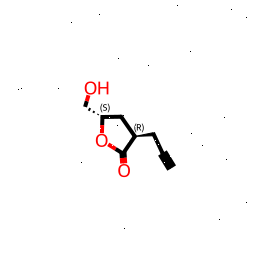 C#CC[C@@H]1C[C@@H](CO)OC1=O